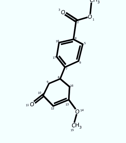 COC(=O)c1ccc(C2CC(=O)C=C(OC)C2)cc1